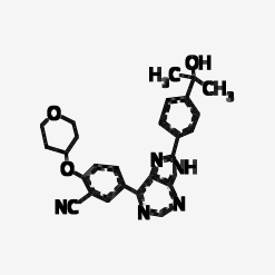 CC(C)(O)c1ccc(-c2nc3c(-c4ccc(OC5CCOCC5)c(C#N)c4)ncnc3[nH]2)cc1